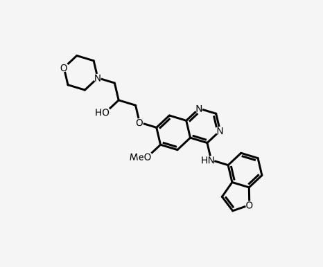 COc1cc2c(Nc3cccc4occc34)ncnc2cc1OCC(O)CN1CCOCC1